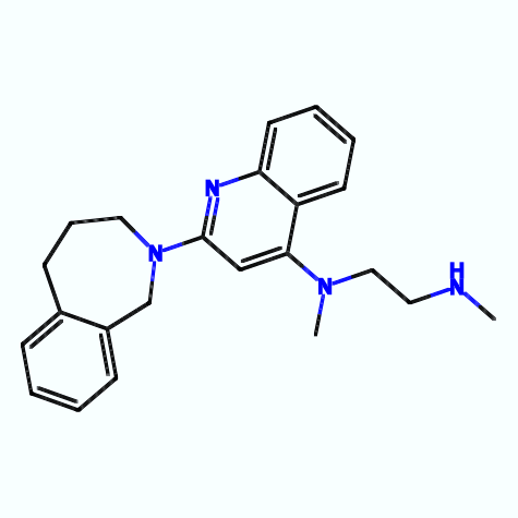 CNCCN(C)c1cc(N2CCCc3ccccc3C2)nc2ccccc12